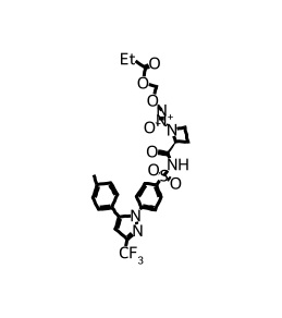 CCC(=O)OCON=[N+]([O-])N1CC[C@H]1C(=O)NS(=O)(=O)c1ccc(-n2nc(C(F)(F)F)cc2-c2ccc(C)cc2)cc1